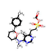 Cc1ccc([C@@H]2CCC[C@H](N(C)c3ncnc(CCS(=O)(=O)OC=O)c3C)O2)cc1